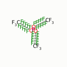 FC(F)(F)C(F)(F)C(F)(F)C(F)(F)C(F)(F)C(F)(F)OP(OC(F)(F)C(F)(F)C(F)(F)C(F)(F)C(F)(F)C(F)(F)F)OC(F)(F)C(F)(F)C(F)(F)C(F)(F)C(F)(F)C(F)(F)F